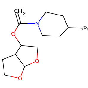 C=C(OC1COC2OCCC12)N1CCC(C(C)C)CC1